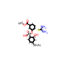 CCCOC(=O)c1cccc(O[As](=O)(O)c2ccc(NC(C)=O)cc2O)c1.NC(N)=S